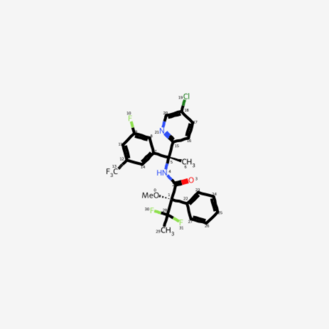 CO[C@](C(=O)N[C@](C)(c1cc(F)cc(C(F)(F)F)c1)c1ccc(Cl)cn1)(c1ccccc1)C(C)(F)F